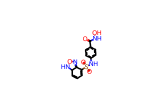 O=C(NO)c1ccc(NS(=O)(=O)C2=CC=CC3NON=C23)cc1